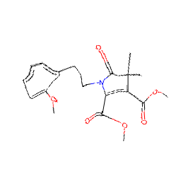 COC(=O)C1=C(C(=O)OC)C(C)(C)C(=O)N1CCc1ccccc1OC